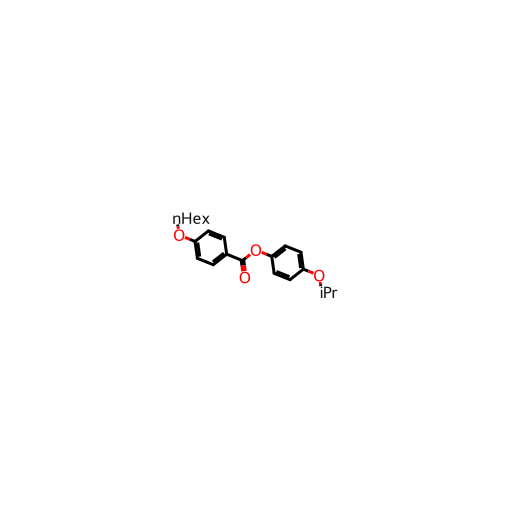 CCCCCCOc1ccc(C(=O)Oc2ccc(OC(C)C)cc2)cc1